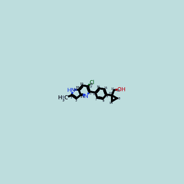 Cc1cc2nc(-c3ccc(C4(CO)CC4)cc3)c(Cl)cc2[nH]1